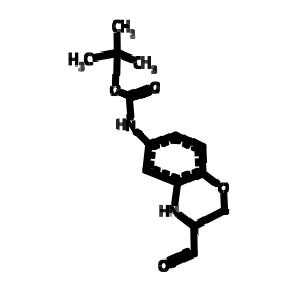 CC(C)(C)OC(=O)Nc1ccc2c(c1)NC(C=O)CO2